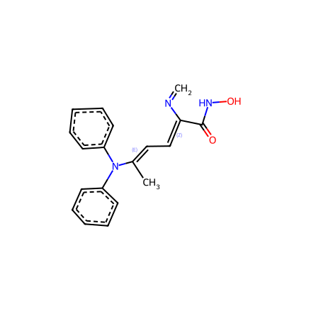 C=N/C(=C\C=C(/C)N(c1ccccc1)c1ccccc1)C(=O)NO